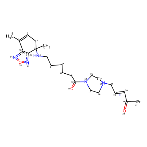 CC1=CCC(C)(NCCCCCC(=O)N2CCN(C/C=C/C(=O)C(C)C)CC2)c2nonc21